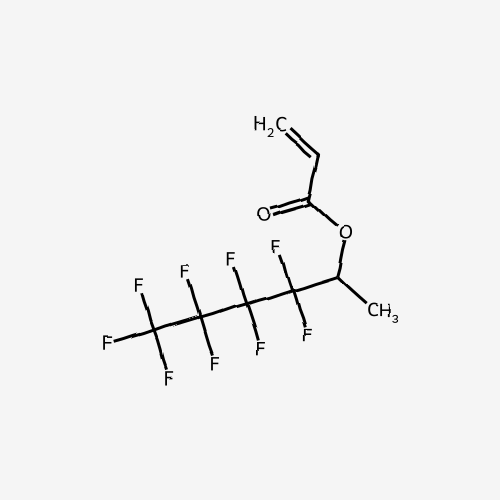 C=CC(=O)OC(C)C(F)(F)C(F)(F)C(F)(F)C(F)(F)F